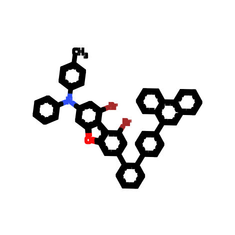 Cc1ccc(N(c2ccccc2)c2cc(Br)c3c(c2)oc2cc(-c4ccccc4-c4ccc(-c5cc6ccccc6c6ccccc56)cc4)cc(Br)c23)cc1